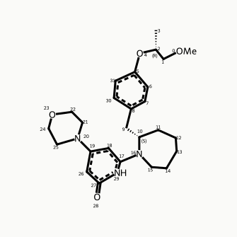 COC[C@@H](C)Oc1ccc(C[C@@H]2CCCCCN2c2cc(N3CCOCC3)cc(=O)[nH]2)cc1